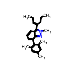 CCC=C(CCC)c1c2cccc(-c3c(C)cc(C)cc3C)c2nn1C